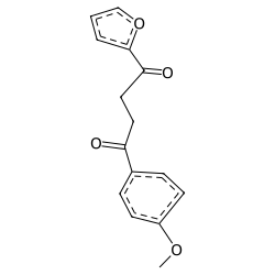 COc1ccc(C(=O)CCC(=O)c2ccco2)cc1